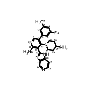 Cc1cc(F)cc(-c2cnc(N)c(-c3nc4cnccc4[nH]3)c2N2CCC(N)CC2)c1